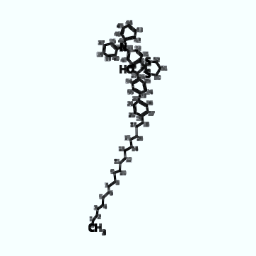 CCCCCCCCCCCCCCCCCCCc1ccc(-c2ccc(C(O)C3(c4ccc(N(c5ccccc5)c5ccccc5)cc4)SCCCS3)cc2)cc1